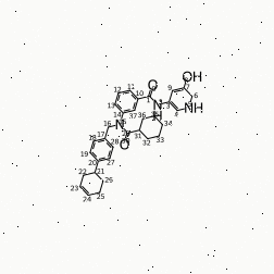 O=C(NC1=CNCC(O)=C1)c1cccc(N(Cc2ccc(C3CC=CCC3)cc2)C(=O)C2CCCCC2)c1